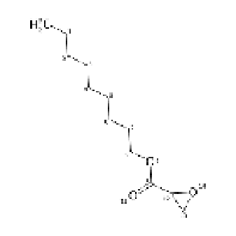 CCCCCCCCCOC(=O)C1CO1